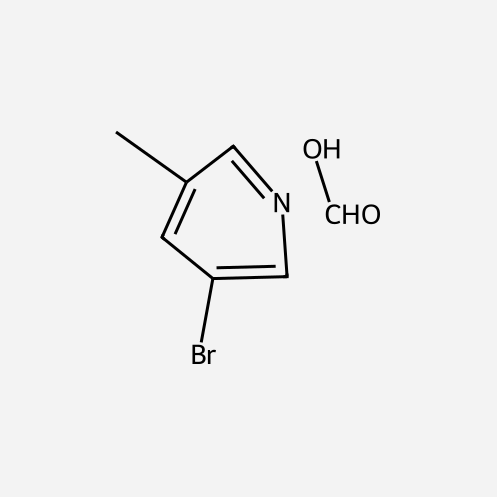 Cc1cncc(Br)c1.O=CO